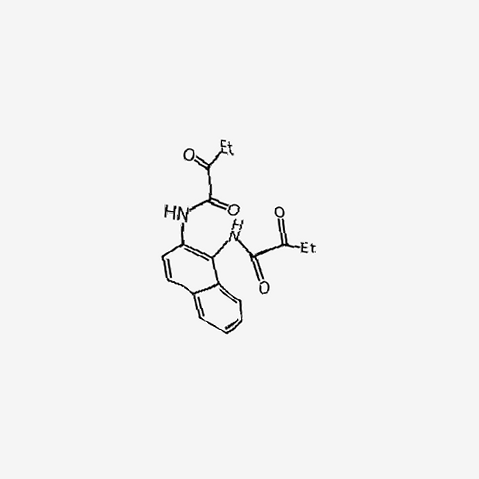 CCC(=O)C(=O)Nc1ccc2ccccc2c1NC(=O)C(=O)CC